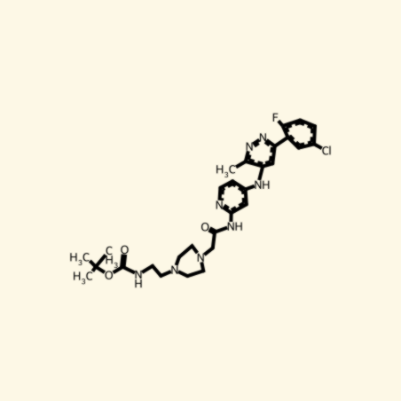 Cc1nnc(-c2cc(Cl)ccc2F)cc1Nc1ccnc(NC(=O)CN2CCN(CCNC(=O)OC(C)(C)C)CC2)c1